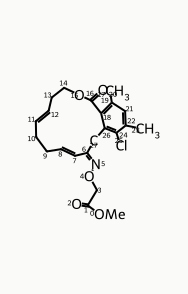 COC(=O)CO/N=C1\C=C\CC/C=C/CCOC(=O)c2c(C)cc(C)c(Cl)c2C1